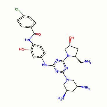 NC[C@@H]1C[C@H](O)CN1c1nc(Nc2ccc(NC(=O)c3ccc(Cl)cc3)c(O)c2)nc(N2C[C@H](N)C[C@H](N)C2)n1